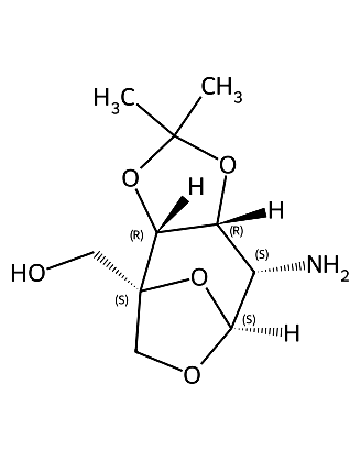 CC1(C)O[C@@H]2[C@H](N)[C@H]3OC[C@](CO)(O3)[C@@H]2O1